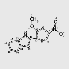 COc1cc([N+](=O)[O-])ccc1-c1nc2ccccc2s1